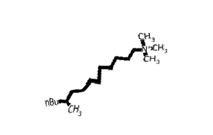 CCCCC(C)CCCCCCCCC[N+](C)(C)C